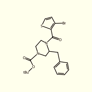 CC(C)(C)OC(=O)N1CCN(C(=O)c2sccc2Br)C(Cc2ccccc2)C1